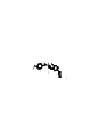 CN(C)C1CCC(C(=O)Nc2cc3cc(-c4cnn(C)c4)c(F)cc3cn2)CC1